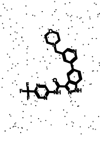 O=C(Nc1cnc(C(F)(F)F)cn1)c1n[nH]c2ccc(-c3cncc(CN4CCOCC4)c3)cc12